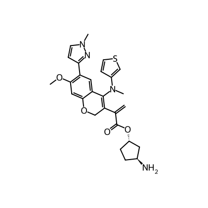 C=C(C(=O)O[C@H]1CC[C@H](N)C1)C1=C(N(C)c2ccsc2)c2cc(-c3ccn(C)n3)c(OC)cc2OC1